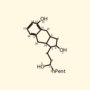 CCCCC[C@@H](O)CCC1C(O)CC2Cc3c(O)cccc3CC21